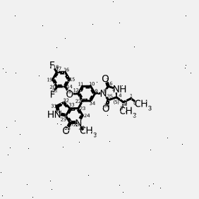 CC[C@H](C)[C@@H]1NC(=O)N(c2ccc(Oc3ccc(F)cc3F)c(-c3cn(C)c(=O)c4[nH]ccc34)c2)C1=O